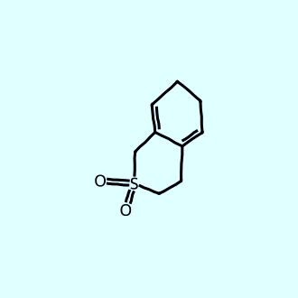 O=S1(=O)CCC2=CCCC=C2C1